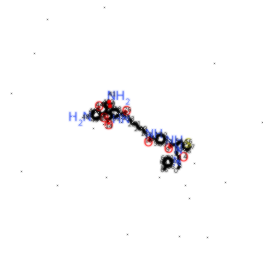 CCN(C(=O)Cn1c(C(=O)N[C@H]2CC[C@H](C(=O)NCCCCCCNC(=O)c3ccc4c(c3)C(=O)OC43c4ccc(N)cc4Oc4cc(N)ccc43)CC2)cc2sccc21)c1cccc(C)c1